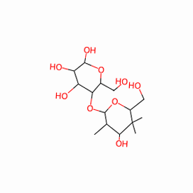 CC1C(OC2C(CO)OC(O)C(O)C2O)OC(CO)C(C)(C)C1O